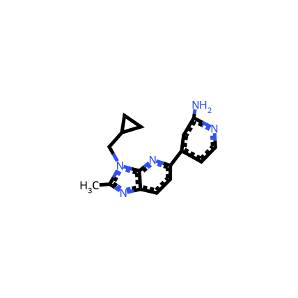 Cc1nc2ccc(-c3ccnc(N)c3)nc2n1CC1CC1